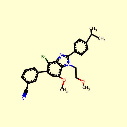 COCCn1c(-c2ccc(C(C)C)cc2)nc2c(Br)c(-c3cccc(C#N)c3)cc(OC)c21